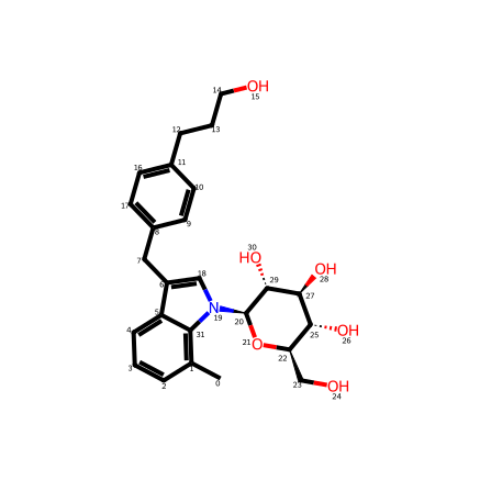 Cc1cccc2c(Cc3ccc(CCCO)cc3)cn([C@@H]3O[C@H](CO)[C@@H](O)[C@H](O)[C@H]3O)c12